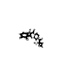 C[C@@]1(C(=O)N2CCN(C(=O)c3[nH]c4ccc(F)c(Cl)c4c3F)CC2)CCO1